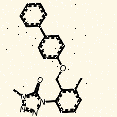 Cc1cccc(-n2nnn(C)c2=O)c1COc1ccc(-c2ccccc2)cc1